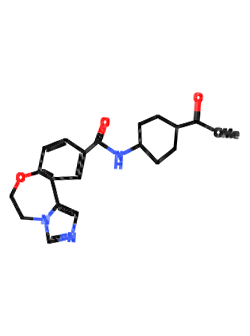 COC(=O)C1CCC(NC(=O)c2ccc3c(c2)-c2cncn2CCO3)CC1